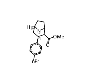 CCCc1ccc([C@H]2C[C@H]3CCC(C2C(=O)OC)N3C)cc1